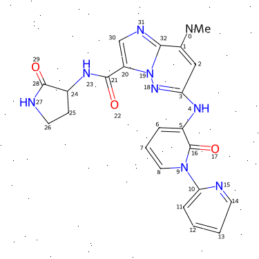 CNc1cc(Nc2cccn(-c3ccccn3)c2=O)nn2c(C(=O)NC3CCNC3=O)cnc12